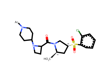 CC(=O)N1CCC(N2CCC2C(=O)N2C[C@H](S(=O)(=O)c3ccccc3Cl)C[C@H]2C(=O)O)CC1